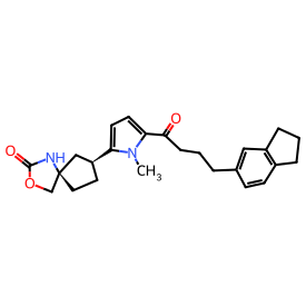 Cn1c(C(=O)CCCc2ccc3c(c2)CCC3)ccc1[C@H]1CC[C@]2(COC(=O)N2)C1